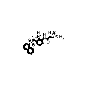 CN(C)CCC(=O)Nc1cccc(C(=N)S(=O)(=O)c2cccc3ccccc23)c1N